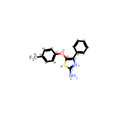 Nc1nc(-c2ccccc2)c(Oc2ccc(C(F)(F)F)cc2)s1